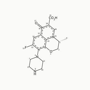 C[C@@H]1COc2c(N3CCNCC3)c(F)cc3c(=O)c(C(=O)O)cn1c23